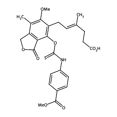 COC(=O)c1ccc(NC(=S)Oc2c(C/C=C(\C)CCC(=O)O)c(OC)c(C)c3c2C(=O)OC3)cc1